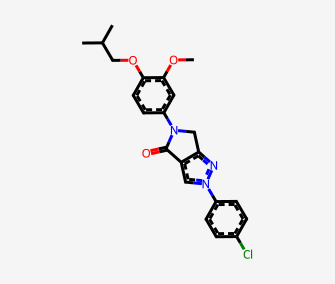 COc1cc(N2Cc3nn(-c4ccc(Cl)cc4)cc3C2=O)ccc1OCC(C)C